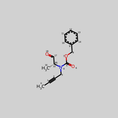 CC#CCN(C(=O)OCc1ccccc1)[C@H](C)C=O